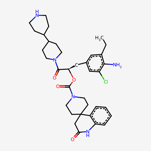 CCc1cc(C[C@@H](OC(=O)N2CCC3(CC2)CC(=O)Nc2ccccc23)C(=O)N2CCC(C3CCNCC3)CC2)cc(Cl)c1N